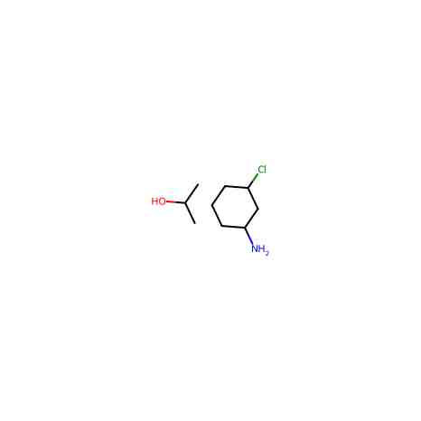 CC(C)O.NC1CCCC(Cl)C1